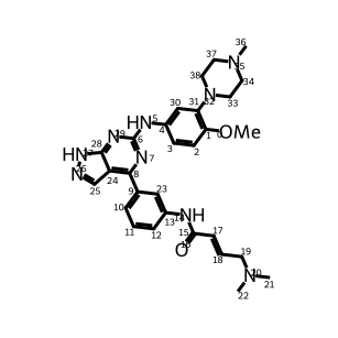 COc1ccc(Nc2nc(-c3cccc(NC(=O)/C=C/CN(C)C)c3)c3cn[nH]c3n2)cc1N1CCN(C)CC1